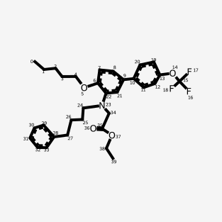 CCCCCOc1ccc(-c2ccc(OC(F)(F)F)cc2)cc1N(CCCCc1ccccc1)CC(=O)OCC